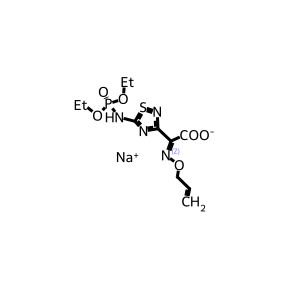 C=CCO/N=C(\C(=O)[O-])c1nsc(NP(=O)(OCC)OCC)n1.[Na+]